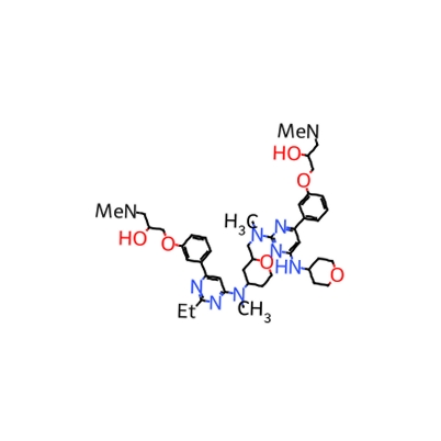 CCc1nc(-c2cccc(OCC(O)CNC)c2)cc(N(C)C2CCOC(CN(C)c3nc(NC4CCOCC4)cc(-c4cccc(OCC(O)CNC)c4)n3)C2)n1